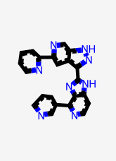 c1ccc(-c2cc3c(-c4nc5c(-c6cccnc6)nccc5[nH]4)n[nH]c3cn2)nc1